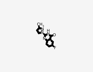 Cc1ccn(-c2nc3ccc(F)cc3c(=O)[nH]2)n1